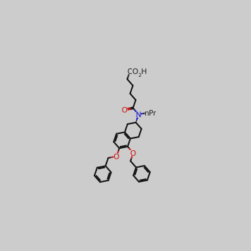 CCCN(C(=O)CCCCC(=O)O)[C@H]1CCc2c(ccc(OCc3ccccc3)c2OCc2ccccc2)C1